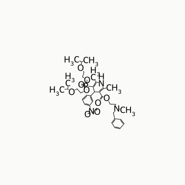 CC1=C(C(=O)OCCN(C)Cc2ccccc2)C(c2cccc([N+](=O)[O-])c2)C(P(=O)(OCCOC(C)C)OCCOC(C)C)=C(C)N1